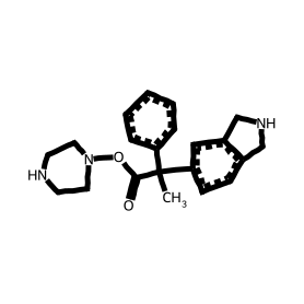 CC(C(=O)ON1CCNCC1)(c1ccccc1)c1ccc2c(c1)CNC2